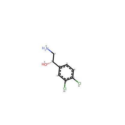 NC[C@@H](O)c1ccc(Cl)c(Cl)c1